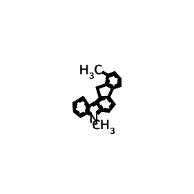 Cc1cccc2c1Cc1c-2ccc2c1c1ccccc1n2C